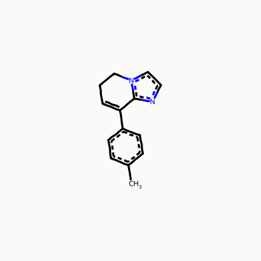 Cc1ccc(C2=CCCn3ccnc32)cc1